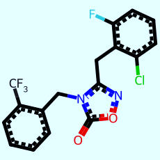 O=c1onc(Cc2c(F)cccc2Cl)n1Cc1ccccc1C(F)(F)F